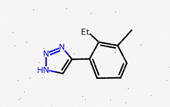 CCc1c(C)cccc1-c1c[nH]nn1